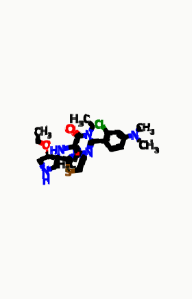 CCO[C@H]1CNC[C@]1(Nc1c(C)nc(-c2ccc(N(C)C)cc2Cl)n(CC)c1=O)c1nccs1